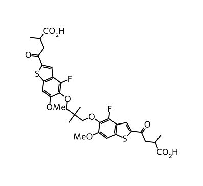 COc1cc2sc(C(=O)CC(C)C(=O)O)cc2c(F)c1OCC(C)(C)COc1c(OC)cc2sc(C(=O)CC(C)C(=O)O)cc2c1F